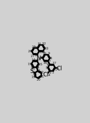 Clc1cc(Cl)cc(-c2cccc(N(c3ccc4sc5ccccc5c4c3)c3cccc4ccccc34)c2)c1